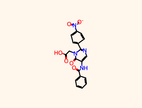 O=C(O)Cn1c(-c2ccc([N+](=O)[O-])cc2)ncc(NC(=O)c2ccccc2)c1=O